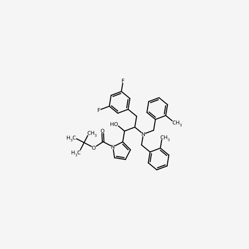 Cc1ccccc1CN(Cc1ccccc1C)C(Cc1cc(F)cc(F)c1)C(O)c1cccn1C(=O)OC(C)(C)C